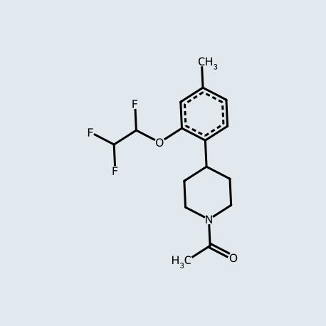 CC(=O)N1CCC(c2ccc(C)cc2OC(F)C(F)F)CC1